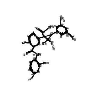 NC(=O)C1(c2ccc(Cl)c(C(=O)Nc3ccc(F)cc3F)c2)C(c2cc(Cl)cc(C(F)(F)F)c2)C1(Cl)Cl